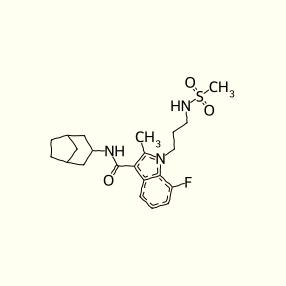 Cc1c(C(=O)NC2CC3CCC(C3)C2)c2cccc(F)c2n1CCCNS(C)(=O)=O